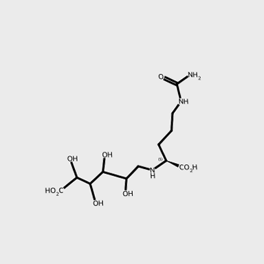 NC(=O)NCCC[C@H](NCC(O)C(O)C(O)C(O)C(=O)O)C(=O)O